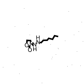 CCCCCCCNNN1CCOC1=O